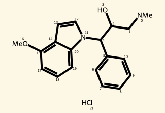 CNCC(O)C(c1ccccc1)n1ccc2c(OC)cccc21.Cl